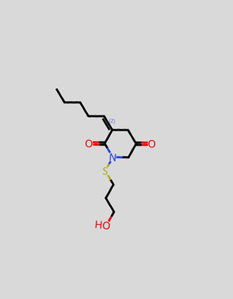 CCCC/C=C1/CC(=O)CN(SCCCO)C1=O